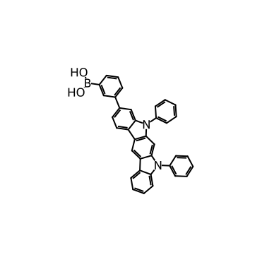 OB(O)c1cccc(-c2ccc3c4cc5c6ccccc6n(-c6ccccc6)c5cc4n(-c4ccccc4)c3c2)c1